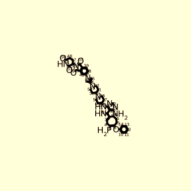 N=C(/C1=C/C/C(P)=C(/Oc2ccccc2)CCC1)c1c(N)ncnc1NC1CCN(C2CCN(C3CN(c4ccc5c(c4)C(=O)N(C4CCC(=O)NC4=O)C5=O)C3)CC2)CC1